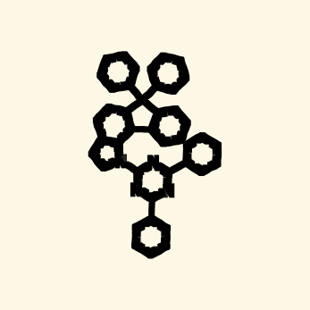 c1ccc(-c2nc(-c3ccccc3)nc(-n3ccc4ccc5c(c43)-c3ccccc3C5(c3ccccc3)c3ccccc3)n2)cc1